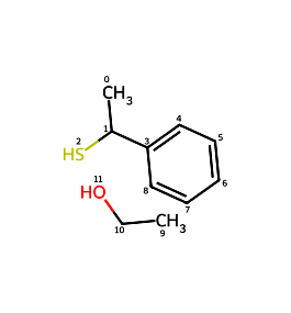 CC(S)c1ccccc1.CCO